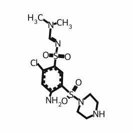 CN(C)C=NS(=O)(=O)c1cc(S(=O)(=O)N2CCNCC2)c(N)cc1Cl